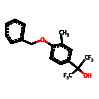 Cc1cc(C(O)(C(F)(F)F)C(F)(F)F)ccc1OCc1ccccc1